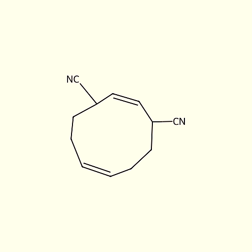 N#CC1/C=C\C(C#N)CC/C=C\CC1